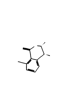 C[C@@H]1OC(=O)c2c(O)cccc2[C@@H]1C